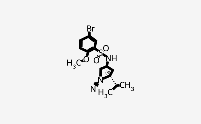 COc1ccc(Br)cc1S(=O)(=O)NC1C[C@H](C(C)C)N(C#N)C1